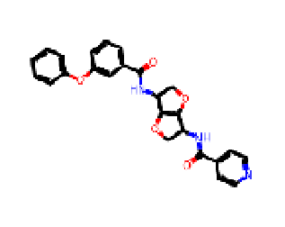 O=C(NC1COC2C(NC(=O)c3cccc(Oc4ccccc4)c3)COC12)c1ccncc1